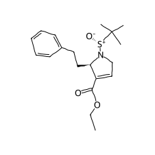 CCOC(=O)C1=CCN([S@+]([O-])C(C)(C)C)[C@@H]1CCc1ccccc1